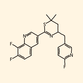 CC1(C)CC(Cc2ccc(F)nc2)N=C(c2cnc3c(F)c(F)ccc3c2)S1